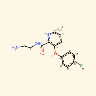 Cl.NCCNC(=O)c1ncccc1Oc1ccc(Cl)cc1